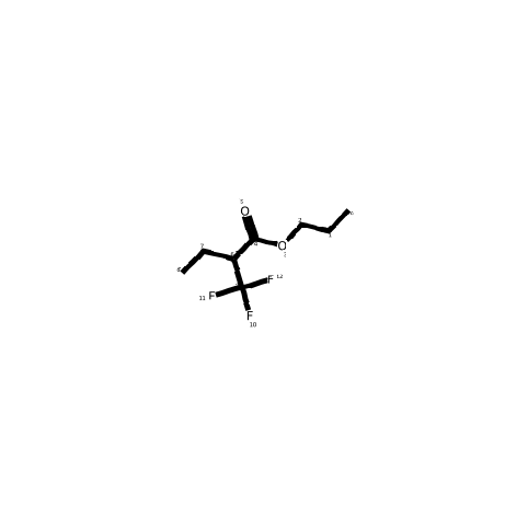 CCCOC(=O)C(CC)C(F)(F)F